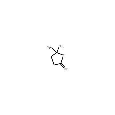 CC1(C)CCC(=N)S1